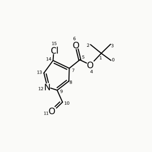 CC(C)(C)OC(=O)c1cc(C=O)ncc1Cl